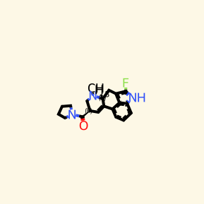 CN1C[C@H](C(=O)N2CCCC2)C=C2c3cccc4[nH]c(F)c(c34)C[C@H]21